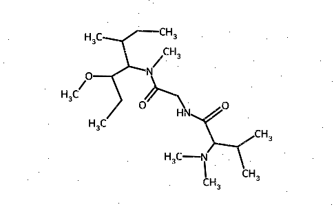 CCC(C)C(C(CC)OC)N(C)C(=O)CNC(=O)C(C(C)C)N(C)C